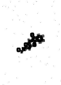 O=C1C(=Cc2ccc([N+](=O)[O-])o2)C(=O)c2ccccc21